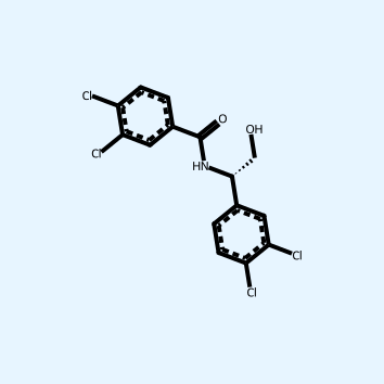 O=C(N[C@H](CO)c1ccc(Cl)c(Cl)c1)c1ccc(Cl)c(Cl)c1